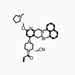 C=CC(=O)N1CCN(c2cc(OC[C@@H]3CCCN3C)nc3c2CCN(c2cccc4cccc(Br)c24)C3)C[C@@H]1CC#N